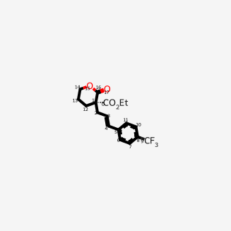 CCOC(=O)[C@]1(C/C=C/c2ccc(C(F)(F)F)cc2)CCCOC1=O